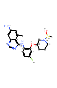 Cc1cc(N)cc2ncnc(Nc3ccc(F)cc3O[C@@H]3CCCN([S+](C)[O-])C3)c12